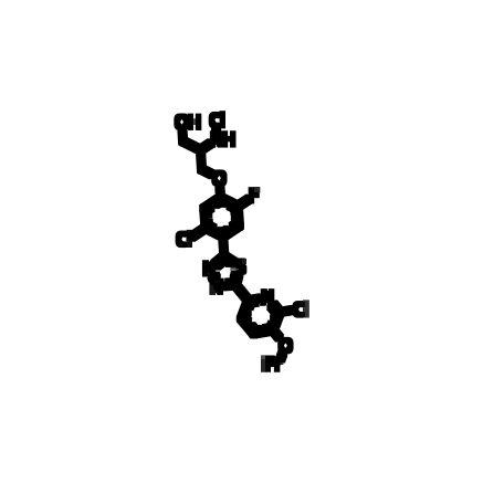 CC(C)Oc1ccc(-c2nnc(-c3cc(F)c(OCC(CO)NCl)cc3Cl)s2)nc1Cl